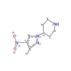 Cc1nn(C2CCNCC2)cc1[N+](=O)[O-]